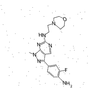 Cn1nc(-c2ccc(N)c(F)c2)c2cnc(NCCN3CCOCC3)nc21